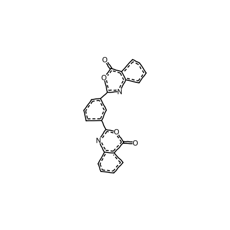 O=c1oc(-c2cccc(-c3nc4ccccc4c(=O)o3)c2)nc2ccccc12